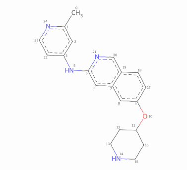 Cc1cc(Nc2cc3cc(OC4CCNCC4)ccc3cn2)ccn1